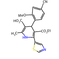 CCOC(=O)C1=C(c2cncs2)NC(C)=C(C(=O)O)C1c1ccc(C#N)cc1OC